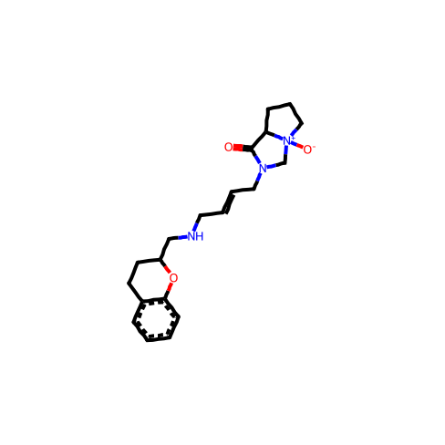 O=C1C2CCC[N+]2([O-])CN1CC=CCNCC1CCc2ccccc2O1